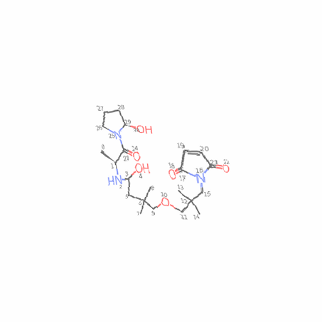 C[C@H](NC(O)CC(C)(C)COCC(C)(C)CN1C(=O)C=CC1=O)C(=O)N1CCC[C@H]1O